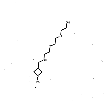 CC(=O)N1CC(CNCCOCCOCCO)C1